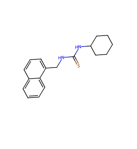 S=C(NCc1cccc2ccccc12)NC1CCCCC1